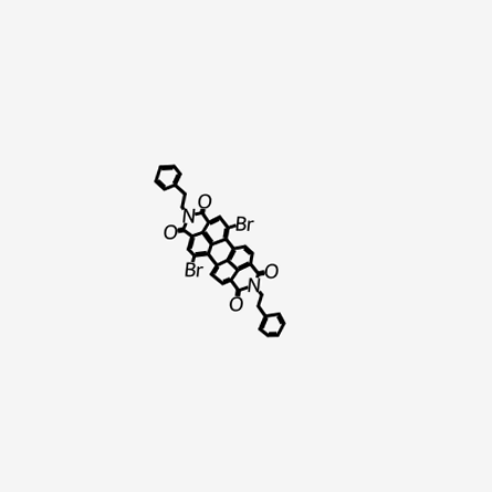 O=C1c2ccc3c4c(Br)cc5c6c(cc(Br)c(c7ccc(c2c37)C(=O)N1CCc1ccccc1)c64)C(=O)N(CCc1ccccc1)C5=O